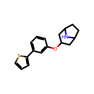 c1cc(OC2CC3CCC(C2)N3)cc(-c2cccs2)c1